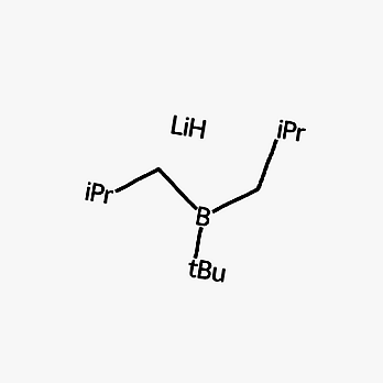 CC(C)CB(CC(C)C)C(C)(C)C.[LiH]